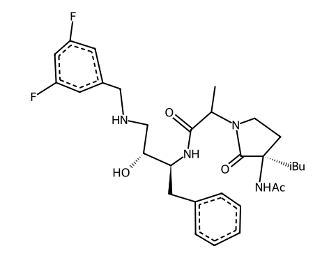 CCC(C)[C@@]1(NC(C)=O)CCN(C(C)C(=O)N[C@@H](Cc2ccccc2)[C@H](O)CNCc2cc(F)cc(F)c2)C1=O